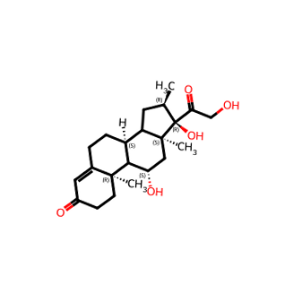 C[C@@H]1CC2[C@@H]3CCC4=CC(=O)CC[C@]4(C)C3[C@@H](O)C[C@]2(C)[C@@]1(O)C(=O)CO